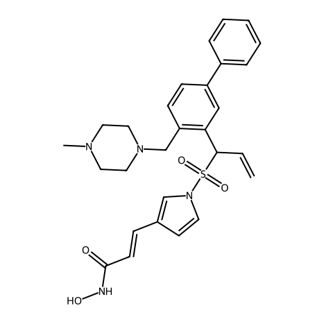 C=CC(c1cc(-c2ccccc2)ccc1CN1CCN(C)CC1)S(=O)(=O)n1ccc(/C=C/C(=O)NO)c1